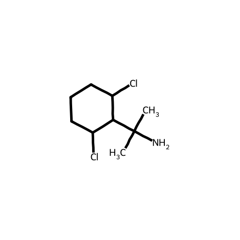 CC(C)(N)C1C(Cl)CCCC1Cl